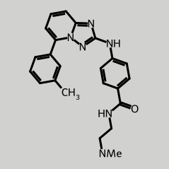 CNCCNC(=O)c1ccc(Nc2nc3cccc(-c4cccc(C)c4)n3n2)cc1